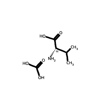 CC(C)[C@H](N)C(=O)O.O=C(O)O